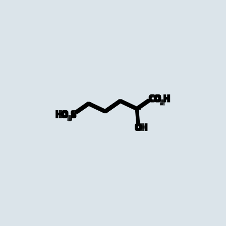 O=C(O)[C](O)CCCS(=O)(=O)O